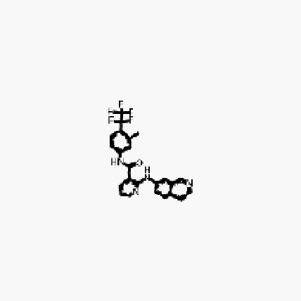 Cc1cc(NC(=O)c2cccnc2Nc2ccc3ccncc3c2)ccc1C(F)(F)C(F)(F)F